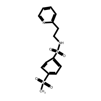 CS(=O)(=O)c1ccc(S(=O)(=O)NCCc2ccccn2)cc1